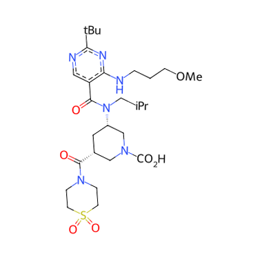 COCCCNc1nc(C(C)(C)C)ncc1C(=O)N(CC(C)C)[C@H]1C[C@@H](C(=O)N2CCS(=O)(=O)CC2)CN(C(=O)O)C1